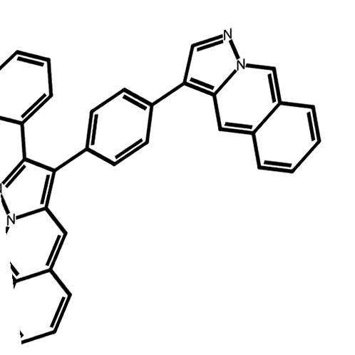 c1ccc(-c2nn3cc4ccccc4cc3c2-c2ccc(-c3cnn4cc5ccccc5cc34)cc2)cc1